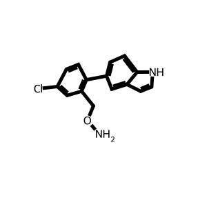 NOCc1cc(Cl)ccc1-c1ccc2[nH]ccc2c1